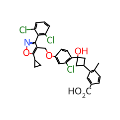 Cc1ccc(C(=O)O)cc1C1CC(O)(c2ccc(OCc3c(-c4c(Cl)cccc4Cl)noc3C3CC3)cc2Cl)C1